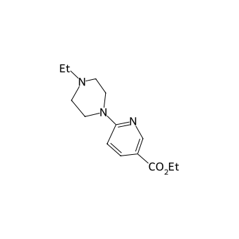 CCOC(=O)c1ccc(N2CCN(CC)CC2)nc1